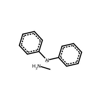 CN.c1cc[c]([Al][c]2ccccc2)cc1